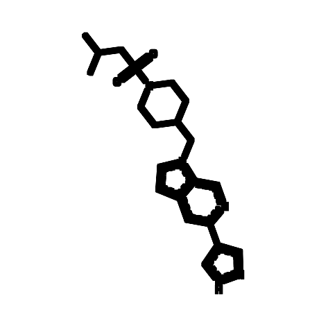 CC(C)CS(=O)(=O)N1CCC(Cn2ccc3cc(-c4cn[nH]c4)ncc32)CC1